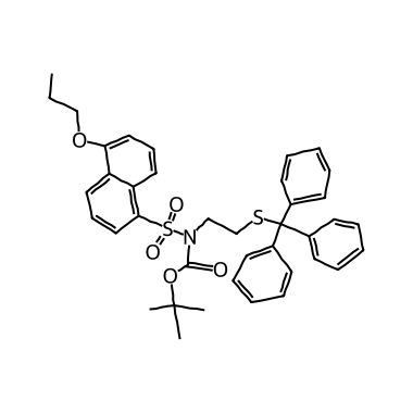 CCCOc1cccc2c(S(=O)(=O)N(CCSC(c3ccccc3)(c3ccccc3)c3ccccc3)C(=O)OC(C)(C)C)cccc12